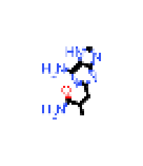 CC(Cc1nc(N)c2[nH]cnc2n1)C(N)=O